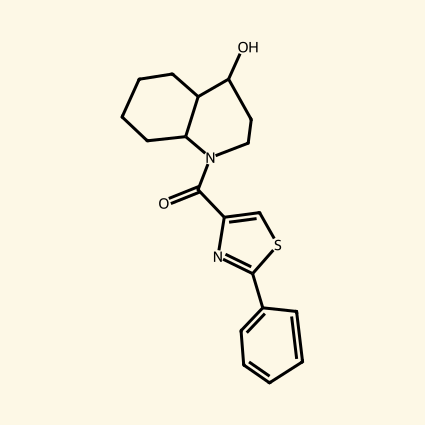 O=C(c1csc(-c2ccccc2)n1)N1CCC(O)C2CCCCC21